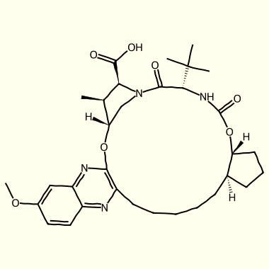 COc1ccc2nc3c(nc2c1)O[C@H]1CN(C(=O)[C@H](C(C)(C)C)NC(=O)O[C@@H]2CCC[C@H]2CCCCC3)[C@H](C(=O)O)[C@@H]1C